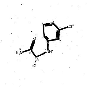 C[C@@H](Nc1cccc(Cl)c1)C(N)=O